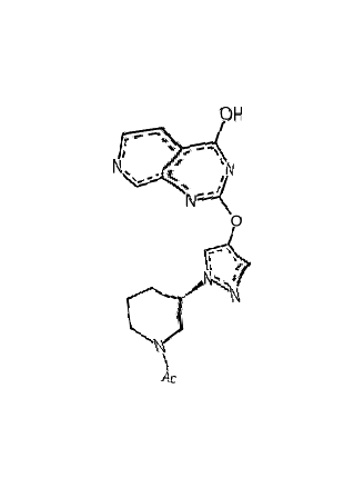 CC(=O)N1CCC[C@@H](n2cc(Oc3nc(O)c4ccncc4n3)cn2)C1